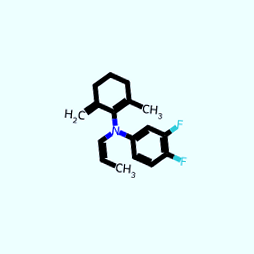 C=C1CCCC(C)=C1N(/C=C\C)c1ccc(F)c(F)c1